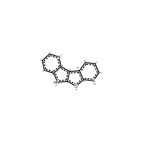 c1cnc2c(c1)[nH]c1oc3ncccc3c12